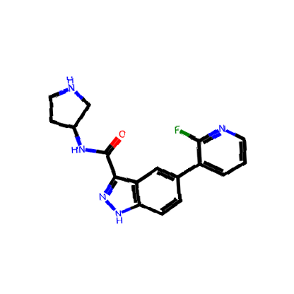 O=C(NC1CCNC1)c1n[nH]c2ccc(-c3cccnc3F)cc12